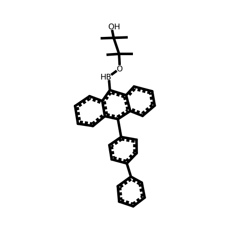 CC(C)(O)C(C)(C)OBc1c2ccccc2c(-c2ccc(-c3ccccc3)cc2)c2ccccc12